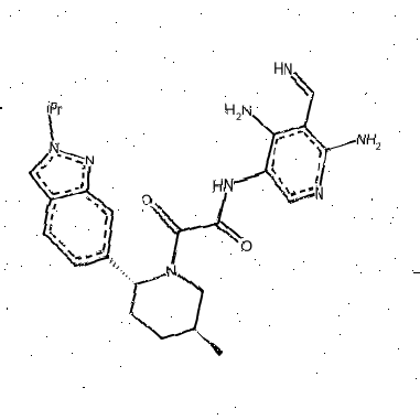 CC(C)n1cc2ccc([C@H]3CC[C@H](C)CN3C(=O)C(=O)Nc3cnc(N)c(C=N)c3N)cc2n1